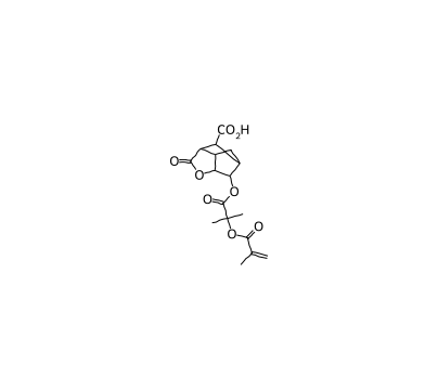 C=C(C)C(=O)OC(C)(C)C(=O)OC1C2CC3C1OC(=O)C3C2C(=O)O